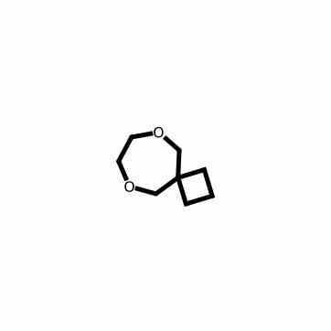 C1CC2(C1)COCCOC2